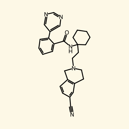 N#Cc1ccc2c(c1)CCN(CCC1(NC(=O)c3ccccc3-c3cncnc3)CCCCC1)C2